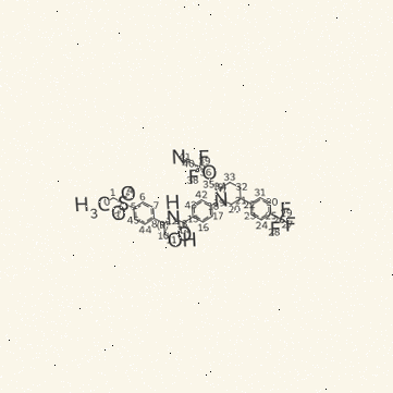 CCS(=O)(=O)c1ccc([C@H](CO)NC(=O)c2ccc(N3CC(c4ccc(C(F)(F)F)cc4)CC[C@H]3COC(F)(F)C#N)cc2)cc1